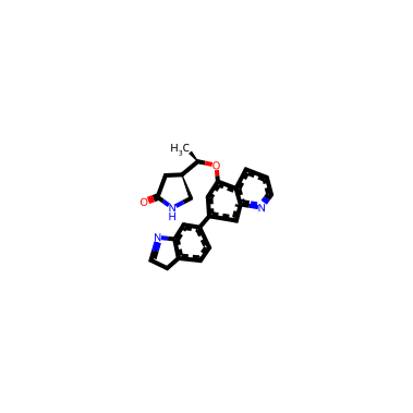 C[C@@H](Oc1cc(-c2ccc3c(c2)N=CC3)cc2ncccc12)[C@H]1CNC(=O)C1